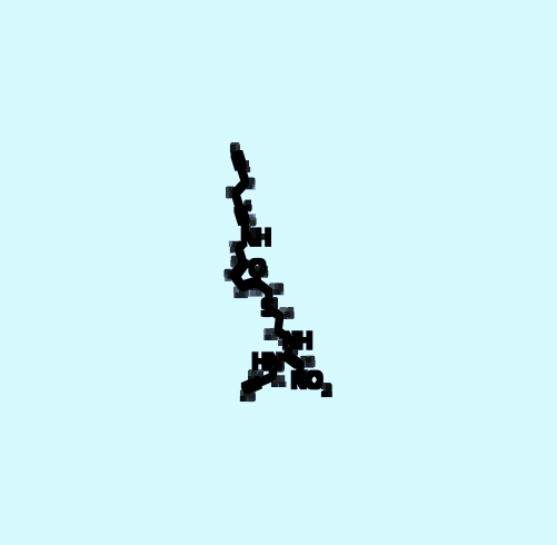 C#CCCC#CNCc1ccc(CSCCNC(=C[N+](=O)[O-])NCC#C)o1